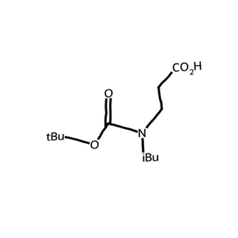 CCC(C)N(CCC(=O)O)C(=O)OC(C)(C)C